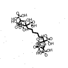 O=P(O)(O)C([N]C(CCCCCCC([N]C(P(=O)(O)O)P(=O)(O)O)(P(=O)(O)O)P(=O)(O)O)(P(=O)(O)O)P(=O)(O)O)P(=O)(O)O